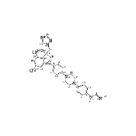 CN=CN(C)c1ccc(N2CCN(c3ccc(OCC(O)(Cn4cncn4)c4ccc(Cl)cc4Cl)cc3)CC2)cc1